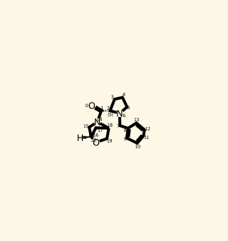 O=C([C@@H]1CCCN1Cc1ccccc1)N1C[C@@H]2CC1CO2